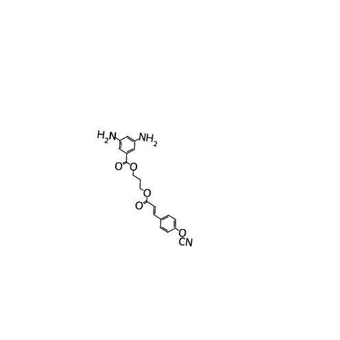 N#COc1ccc(/C=C/C(=O)OCCCOC(=O)c2cc(N)cc(N)c2)cc1